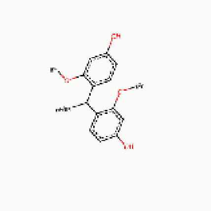 CCCCCCC(c1ccc(O)cc1OC(C)C)c1ccc(O)cc1OC(C)C